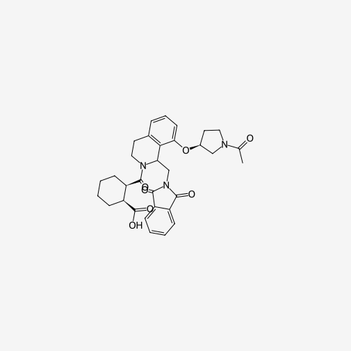 CC(=O)N1CC[C@H](Oc2cccc3c2C(CN2C(=O)c4ccccc4C2=O)N(C(=O)[C@@H]2CCCC[C@@H]2C(=O)O)CC3)C1